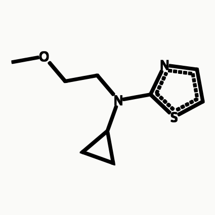 COCCN(c1nccs1)C1CC1